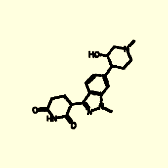 CN1CCC(c2ccc3c(C4CCC(=O)NC4=O)nn(C)c3c2)C(O)C1